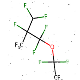 FC(F)C(F)(C(F)(F)F)C(F)(F)OC(F)(F)C(F)(F)F